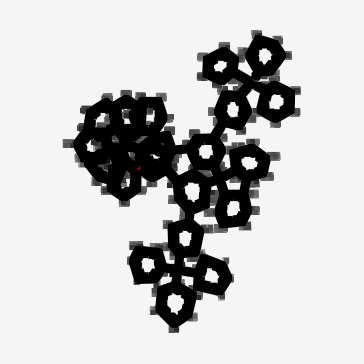 c1ccc([Si](c2ccccc2)(c2ccccc2)c2ccc(-c3cc(-c4ccc([Si](c5ccccc5)(c5ccccc5)c5ccccc5)cc4)cc(C4(c5cc(-c6ccc([Si](c7ccccc7)(c7ccccc7)c7ccccc7)cc6)cc(-c6ccc([Si](c7ccccc7)(c7ccccc7)c7ccccc7)cc6)c5)c5ccccc5-c5ccccc54)c3)cc2)cc1